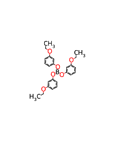 CCOc1cccc(OB(Oc2cccc(OCC)c2)Oc2cccc(OCC)c2)c1